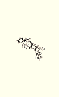 CC(NC(=O)Nc1cc(OC(F)(F)C(F)F)c(Cl)cc1Cl)c1ncnn1-c1cnccn1